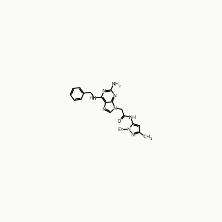 CCn1nc(C)cc1NC(=O)Cn1cnc2c(NCc3ccccc3)nc(N)nc21